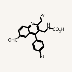 CCc1ccc(-c2c(CNC(=O)O)c(CC(C)C)nc3ccc(C=O)cc23)cc1